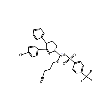 N#CCCCS/C(=N\S(=O)(=O)c1ccc(C(F)(F)F)cc1)N1CCC(c2ccccc2)C(c2ccc(Cl)cc2)=N1